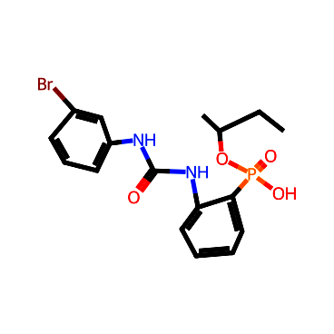 CCC(C)OP(=O)(O)c1ccccc1NC(=O)Nc1cccc(Br)c1